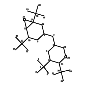 CC(C)(C)C1CC(CC2CC(C(C)(C)C)C3OC3(C(C)(C)C)C2)COC1C(C)(C)C